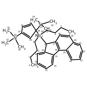 CCC[CH2][Nb]([CH2]CCC)([CH]1c2ccccc2-c2c1ccc1ccccc21)[C]1([Si](C)(C)C)C=CC([Si](C)(C)C)=C1